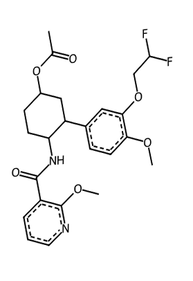 COc1ccc(C2CC(OC(C)=O)CCC2NC(=O)c2cccnc2OC)cc1OCC(F)F